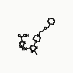 Cc1nc(Nc2ncc(C(=O)O)s2)cc(N2CCN(CCOCc3ccccc3)CC2)n1